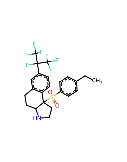 CCc1ccc(S(=O)(=O)C23CCNC2CCc2cc(C(F)(C(F)(F)F)C(F)(F)F)ccc23)cc1